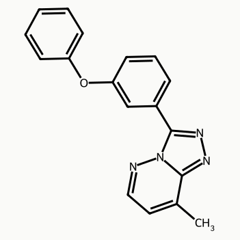 Cc1ccnn2c(-c3cccc(Oc4ccccc4)c3)nnc12